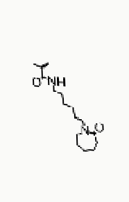 C=C(C)C(=O)NCCCCCCN1CCCCCC1=O